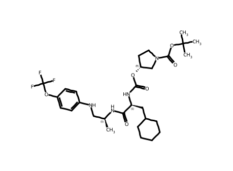 C[C@@H](CNc1ccc(OC(F)(F)F)cc1)NC(=O)[C@H](CC1CCCCC1)NC(=O)O[C@@H]1CCN(C(=O)OC(C)(C)C)C1